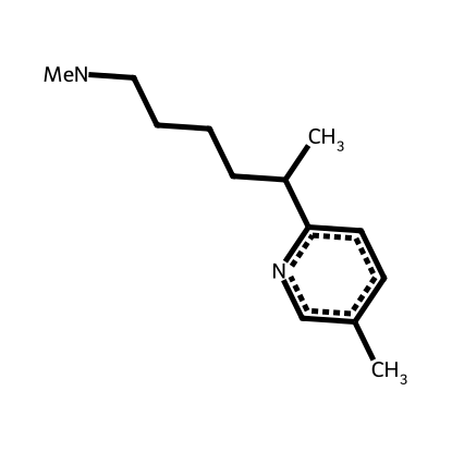 CNCCCCC(C)c1ccc(C)cn1